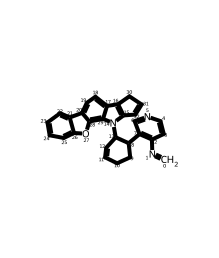 C=Nc1ccncc1C1CCC=CC1n1c2c(c3ccc4c5ccccc5oc4c31)CC=C2